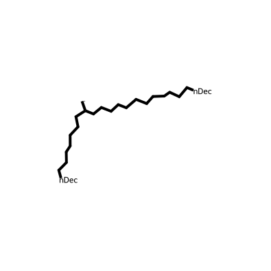 [CH2]C(CCCCCCCCCCCCCCCCC)CCCCCCCCCCCCCCCCCCCCCC